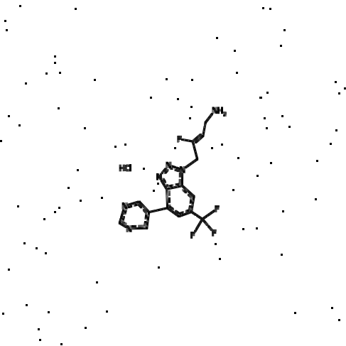 Cl.NC/C=C(\F)Cn1nnc2c(-c3cncnc3)cc(C(F)(F)F)cc21